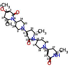 COC1=CC(=O)N(C2CCN(C3=CC(=O)N(C4CCN(C5=CC(=O)N[C@@H](C)C5)CC4)[C@@H](C)C3)CC2)[C@@H](C)C1